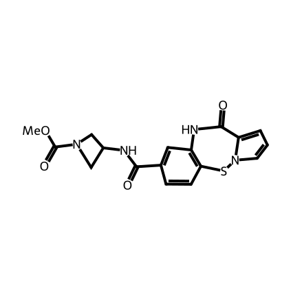 COC(=O)N1CC(NC(=O)c2ccc3c(c2)NC(=O)c2cccn2S3)C1